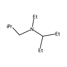 CCC(CC)N(CC)CC(C)C